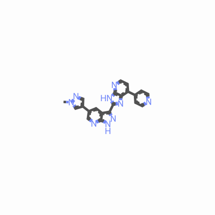 Cn1cc(-c2cnc3[nH]nc(-c4nc5c(-c6ccncc6)ccnc5[nH]4)c3c2)cn1